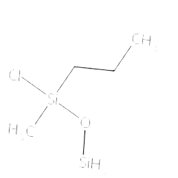 CCC[Si](C)(Cl)O[SiH3]